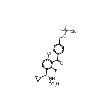 CC(C)(C)[Si](C)(C)OCc1ccc(C(=O)c2c(Cl)ccc([C@H](NC(=O)O)C3CC3)c2F)cc1